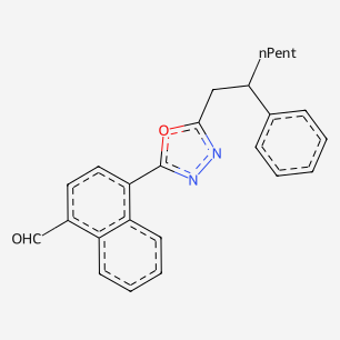 CCCCCC(Cc1nnc(-c2ccc(C=O)c3ccccc23)o1)c1ccccc1